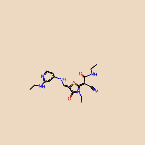 CCNC(=O)C(C#N)=c1sc(=CNc2ccnc(NCC)c2)c(=O)n1CC